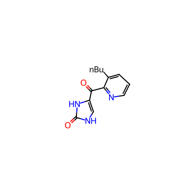 CCCCc1cccnc1C(=O)c1c[nH]c(=O)[nH]1